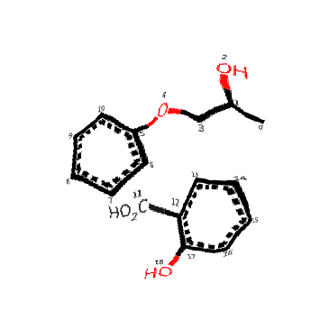 CC(O)COc1ccccc1.O=C(O)c1ccccc1O